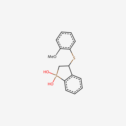 COc1ccccc1SC1CS(O)(O)c2ccccc21